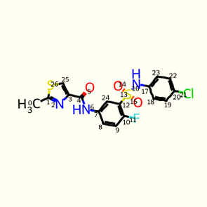 Cc1nc(C(=O)Nc2ccc(F)c(S(=O)(=O)Nc3ccc(Cl)cc3)c2)cs1